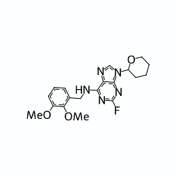 COc1cccc(CNc2nc(F)nc3c2ncn3C2CCCCO2)c1OC